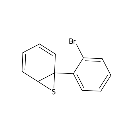 Brc1ccccc1C12C=CC=CC1S2